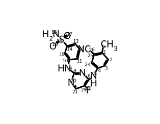 Cc1ccc(Nc2nc(Nc3cccc(S(N)(=O)=O)c3)ncc2F)cc1C#N